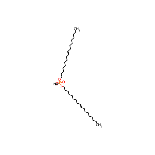 CCCCCCCC/C=C/CCCCCCCCOP(=O)([O-])OCCCCCCCC/C=C/CCCCCCCC.[Na+]